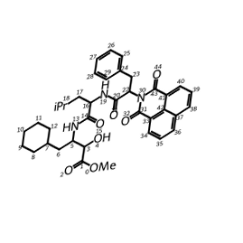 COC(=O)C(O)C(CC1CCCCC1)NC(=O)C(CC(C)C)NC(=O)C(Cc1ccccc1)N1C(=O)c2cccc3cccc(c23)C1=O